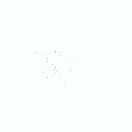 C=C(C)C(=O)O.O=S(=O)(O)c1c(O)c2ccc3cccc4ccc(c1S(=O)(=O)O)c2c34